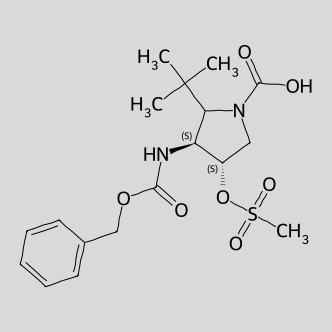 CC(C)(C)C1[C@H](NC(=O)OCc2ccccc2)[C@@H](OS(C)(=O)=O)CN1C(=O)O